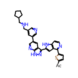 CC(=O)c1ccc(-c2nccc3[nH]c(-c4n[nH]c5ncc(-c6cncc(CNCC7CCCC7)c6)cc45)cc23)s1